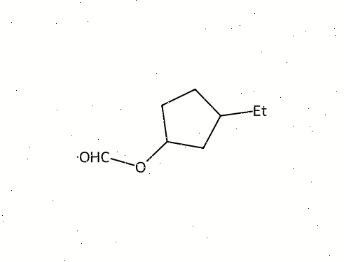 CCC1CCC(O[C]=O)C1